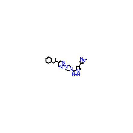 CC(Cc1ccccc1)c1cnc(N2CCN(c3ncnn4cc(-c5cnn(C)c5)cc34)CC2)nc1